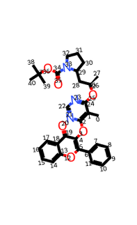 Cc1c(Oc2c(-c3ccccc3)oc3ccccc3c2=O)ncnc1O[C@H](C)CC1CCCN1C(=O)OC(C)(C)C